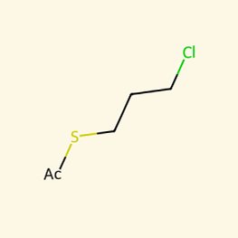 CC(=O)SCCCCl